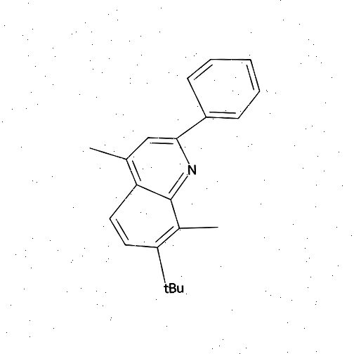 Cc1cc(-c2ccccc2)nc2c(C)c(C(C)(C)C)ccc12